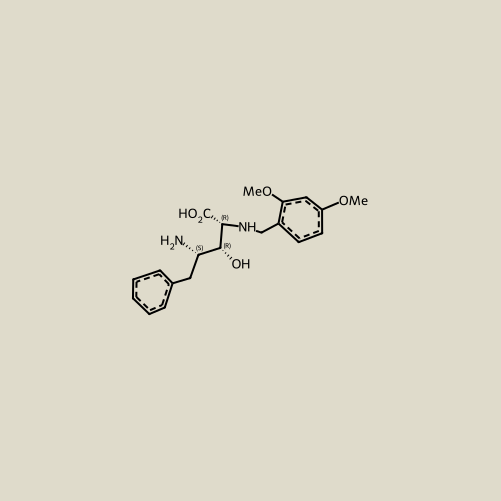 COc1ccc(CN[C@@H](C(=O)O)[C@H](O)[C@@H](N)Cc2ccccc2)c(OC)c1